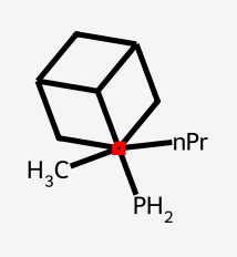 CCCC(C)(P)C1C2CCCC1C2